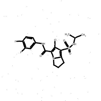 CC(C)NS(=O)(=O)c1c(Cl)c(C(=O)Nc2ccc(F)c(F)c2)n2c1CCC2